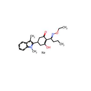 CCCC(=NOCC)C1=C(O)CC(c2c(C)c3ccccc3n2C)CC1=O.[Na]